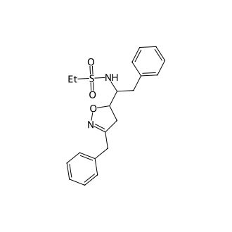 CCS(=O)(=O)NC(Cc1ccccc1)C1CC(Cc2ccccc2)=NO1